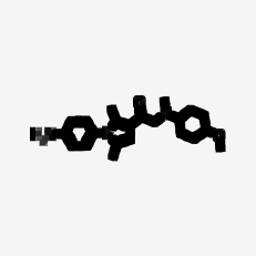 COC1CCC(N(C)CC(=O)c2cc(C)n(-c3ccc(N)cc3)c2C)CC1